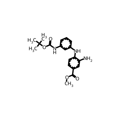 COC(=O)c1ccc(Nc2cccc(NC(=O)OC(C)(C)C)c2)c(N)c1